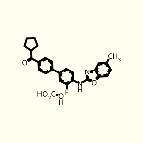 Cc1ccc2oc(Nc3ccc(-c4ccc(C(=O)C5CCCC5)cc4)cc3F)nc2c1.O=C(O)O